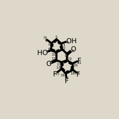 O=C1c2c(O)cc(I)c(O)c2C(=O)c2c(F)c(F)c(F)c(F)c21